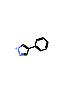 [c]1ccc(-c2cn[nH]c2)cc1